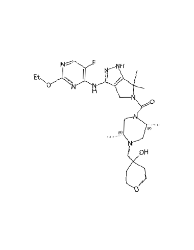 CCOc1ncc(F)c(Nc2n[nH]c3c2CN(C(=O)N2C[C@@H](C)N(CC4(O)CCOCC4)C[C@H]2C)C3(C)C)n1